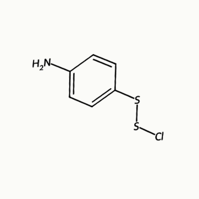 Nc1ccc(SSCl)cc1